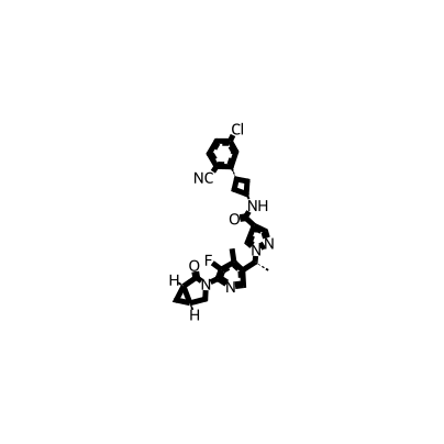 Cc1c([C@@H](C)n2cc(C(=O)N[C@H]3C[C@@H](c4cc(Cl)ccc4C#N)C3)cn2)cnc(N2C[C@H]3C[C@H]3C2=O)c1F